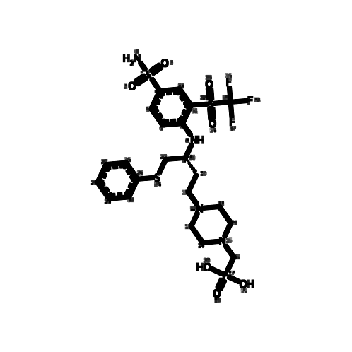 NS(=O)(=O)c1ccc(N[C@H](CCN2CCN(CP(=O)(O)O)CC2)CSc2ccccc2)c(S(=O)(=O)C(F)(F)F)c1